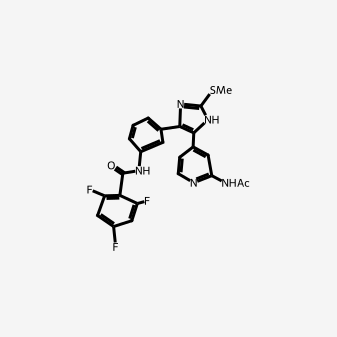 CSc1nc(-c2cccc(NC(=O)c3c(F)cc(F)cc3F)c2)c(-c2ccnc(NC(C)=O)c2)[nH]1